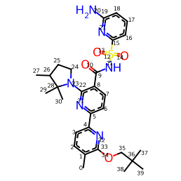 Cc1ccc(-c2ccc(C(=O)NS(=O)(=O)c3cccc(N)n3)c(N3CCC(C)C3(C)C)n2)nc1OCC(C)(C)C